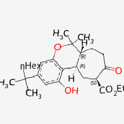 CCCCCCC(C)(C)c1cc(O)c2c(c1)OC(C)(C)[C@@H]1CCC(=O)[C@@H](C(=O)OCC)C[C@@H]21